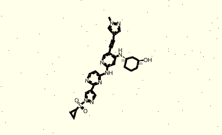 Cn1cc(C#Cc2cnc(Nc3ccnc(-c4cnn(S(=O)(=O)C5CC5)c4)n3)cc2N[C@H]2CCC[C@H](O)C2)cn1